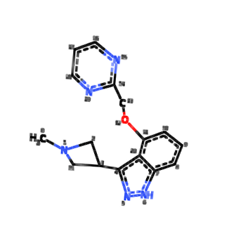 CN1CC(c2n[nH]c3cccc(OCc4ncccn4)c23)C1